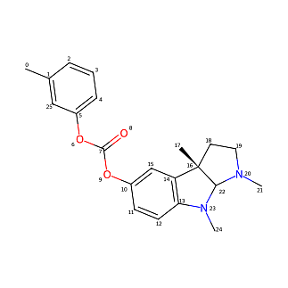 Cc1cccc(OC(=O)Oc2ccc3c(c2)[C@]2(C)CCN(C)C2N3C)c1